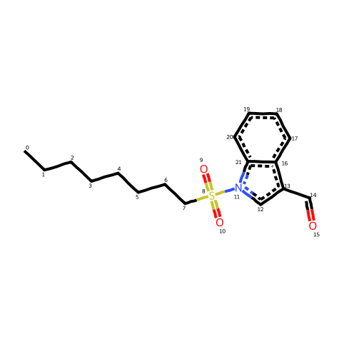 CCCCCCCCS(=O)(=O)n1cc(C=O)c2ccccc21